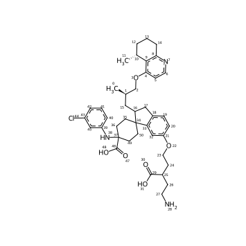 C[C@@H](COc1ccnc2c1[C@H](C)CCC2)CC1Cc2ccc(OCCC(CCN)C(=O)O)cc2C12CCC(Nc1cccc(Cl)c1)(C(=O)O)CC2